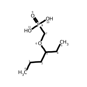 CCCC(CC)OCP(=O)(O)O